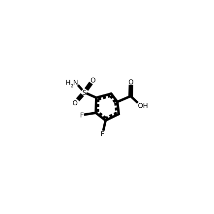 NS(=O)(=O)c1cc(C(=O)O)cc(F)c1F